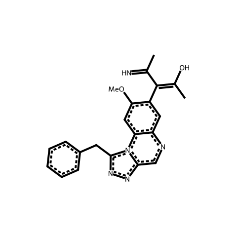 COc1cc2c(cc1/C(C(C)=N)=C(\C)O)ncc1nnc(Cc3ccccc3)n12